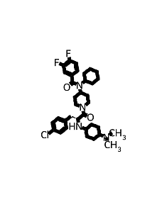 CN(C)C1CCC(N[C@H](Cc2ccc(Cl)cc2)C(=O)N2CCC(N(C(=O)c3ccc(F)c(F)c3)C3CCCCC3)CC2)CC1